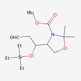 CC[Si](CC)(CC)OC(CC=O)C1COC(C)(C)N1C(=O)OC(C)(C)C